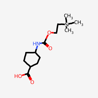 C[Si](C)(C)CCOC(=O)NC1CCC(C(=O)O)CC1